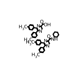 Cc1ccc(-c2ncc(C(=O)NC3CCCCC3)nc2-c2ccc(C)cc2)cc1.Cc1ccc(-c2ncc(C(=O)O)nc2-c2ccc(C)cc2)cc1